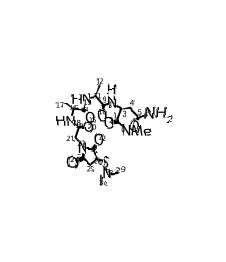 CNC(=O)[C@H](CC(N)=O)NC(=O)[C@H](C)NC(=O)[C@H](C)NC(=O)CN1C(=O)CC(SN(C)I)C1=O